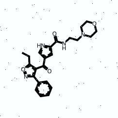 CCc1onc(-c2ccccc2)c1C(=O)c1c[nH]c(C(=O)NCCN2CCOCC2)c1